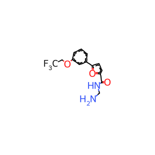 NCNC(=O)c1ccc(-c2cccc(OCC(F)(F)F)c2)o1